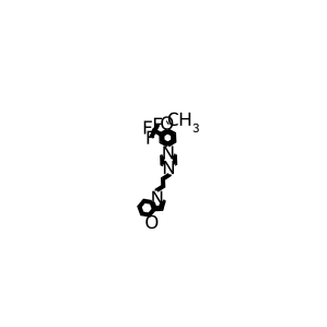 COc1ccc(N2CCN(CCCCn3ccc4c3CCCC4=O)CC2)cc1C(F)(F)F